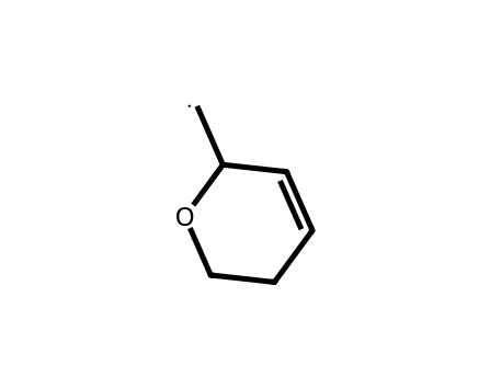 [CH2]C1C=CCCO1